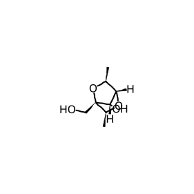 C[C@@H]1O[C@@]2(CO)[C@H](C)O[C@@H]1[C@@H]2O